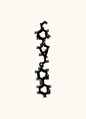 CCc1cnc(N2CC3C(COc4ccc(-c5cccnc5)nc4)C3C2)nc1